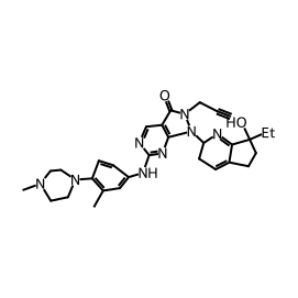 C#CCn1c(=O)c2cnc(Nc3ccc(N4CCN(C)CC4)c(C)c3)nc2n1C1CC=C2CCC(O)(CC)C2=N1